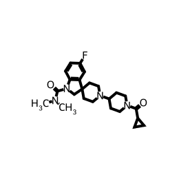 CN(C)C(=O)N1CC2(CCN(C3CCN(C(=O)C4CC4)CC3)CC2)c2cc(F)ccc21